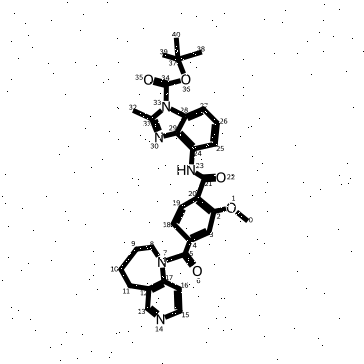 COc1cc(C(=O)N2CCCCc3cnccc32)ccc1C(=O)Nc1cccc2c1nc(C)n2C(=O)OC(C)(C)C